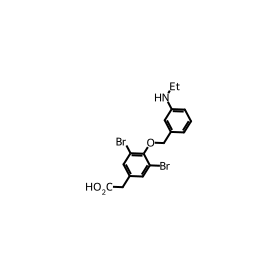 CCNc1cccc(COc2c(Br)cc(CC(=O)O)cc2Br)c1